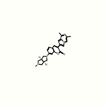 Cc1cn2cc(-c3cc4ccc(N5C[C@H]6CN(C)C[C@H]6C5)cc4oc3=O)cc2c(C)n1